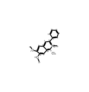 COc1cc2cc(-c3ccccc3)[n+](C)cc2cc1OC.[Cl-]